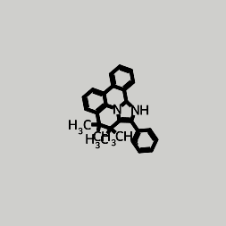 CC1(C)C2=C(c3ccccc3)NC3c4ccccc4-c4cccc(c4N23)C1(C)C